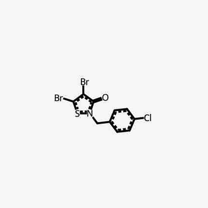 O=c1c(Br)c(Br)sn1Cc1ccc(Cl)cc1